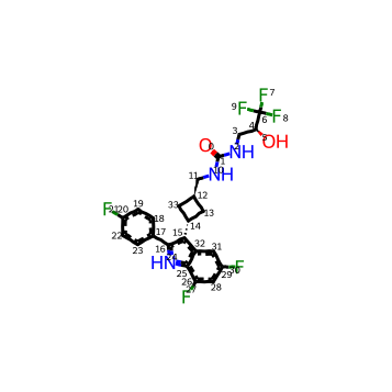 O=C(NC[C@H](O)C(F)(F)F)NC[C@H]1C[C@H](c2c(-c3ccc(F)cc3)[nH]c3c(F)cc(F)cc32)C1